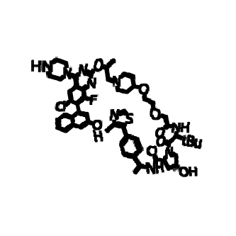 Cc1ncsc1-c1ccc(C(C)NC(=O)[C@@H]2C[C@@H](O)CN2C(=O)C(NC(=O)COCCOC2CCN(CC(C)Oc3nc(N4CCNCC4)c4cc(Cl)c(-c5cc(O)cc6ccccc56)c(F)c4n3)CC2)C(C)(C)C)cc1